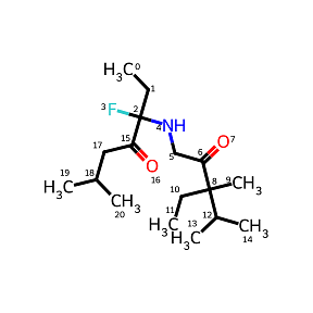 CCC(F)(NCC(=O)C(C)(CC)C(C)C)C(=O)CC(C)C